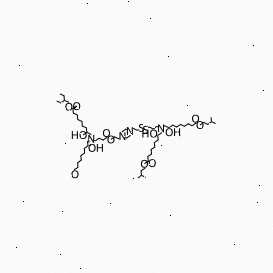 CCC(CC)COC(=O)CCCCCCC(O)CN(CCCC(=O)OCCN1CCN(CCSSCCCN(CC(O)CCCCCCC(=O)OCCC(C)C)CC(O)CCCCCCC(=O)OCCC(C)C)CC1)CC(O)CCCCCCC=O